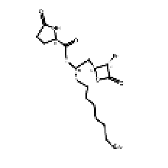 CCCCCCCCCCCCCCCCC[C@@H](C[C@@H]1OC(=O)[C@H]1CC)OC(=O)[C@H]1CCC(=O)N1